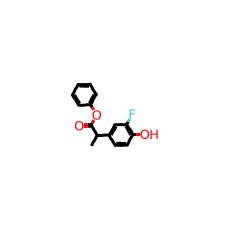 CC(C(=O)Oc1ccccc1)c1ccc(O)c(F)c1